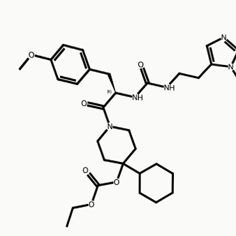 CCOC(=O)OC1(C2CCCCC2)CCN(C(=O)[C@@H](Cc2ccc(OC)cc2)NC(=O)NCCc2cncn2C)CC1